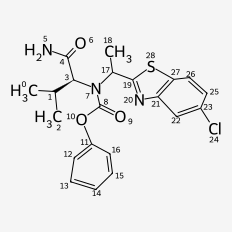 CC(C)[C@@H](C(N)=O)N(C(=O)Oc1ccccc1)C(C)c1nc2cc(Cl)ccc2s1